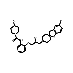 O=C(Nc1ccccc1OC[C@@H](O)CN1CCC2(CC1)Cc1cc(Cl)ccc1O2)N1CCC(O)CC1